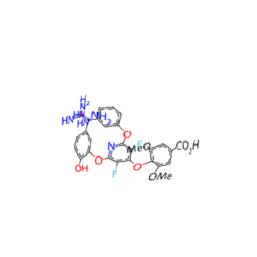 COc1cc(C(=O)O)cc(OC)c1Oc1c(F)c(Oc2cccc(NC(=N)N)c2)nc(Oc2cc(C(=N)N)ccc2O)c1F